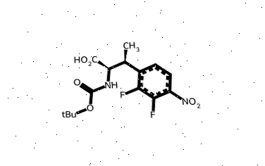 C[C@@H](c1ccc([N+](=O)[O-])c(F)c1F)[C@@H](NC(=O)OC(C)(C)C)C(=O)O